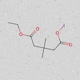 CCOC(=O)CC(C)(C)CC(=O)OI